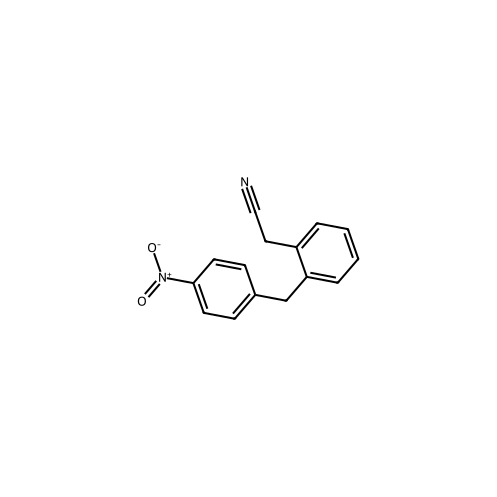 N#CCc1ccccc1Cc1ccc([N+](=O)[O-])cc1